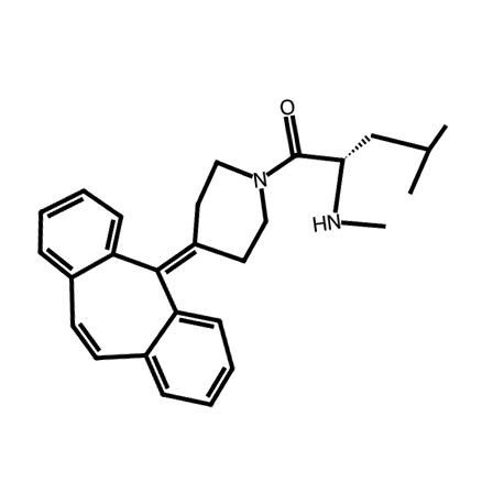 CN[C@@H](CC(C)C)C(=O)N1CCC(=C2c3ccccc3C=Cc3ccccc32)CC1